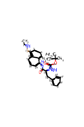 CCNSc1cccc2c(NC(=O)C(Cc3ccccc3)NC(=O)OC(C)(C)C)cccc12